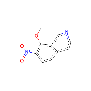 COc1c([N+](=O)[O-])ccc2ccncc12